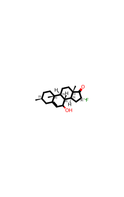 C[C@H]1CC[C@@]2(C)C(=CC(O)[C@@H]3[C@@H]2CC[C@]2(C)C(=O)[C@H](F)C[C@@H]32)C1